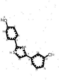 Oc1ccc(-c2nc(-c3cccc(Cl)c3)cs2)cc1